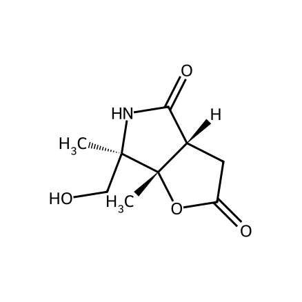 C[C@]1(CO)NC(=O)[C@@H]2CC(=O)O[C@@]21C